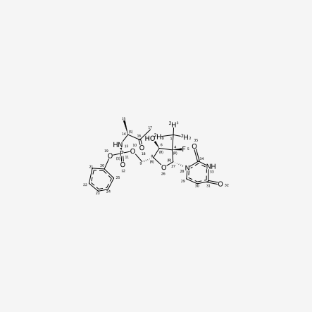 [2H]C([2H])([2H])[C@@]1(F)[C@H](O)[C@@H](CO[P@@](=O)(N[C@@H](C)C(C)=O)Oc2ccccc2)O[C@H]1n1ccc(=O)[nH]c1=O